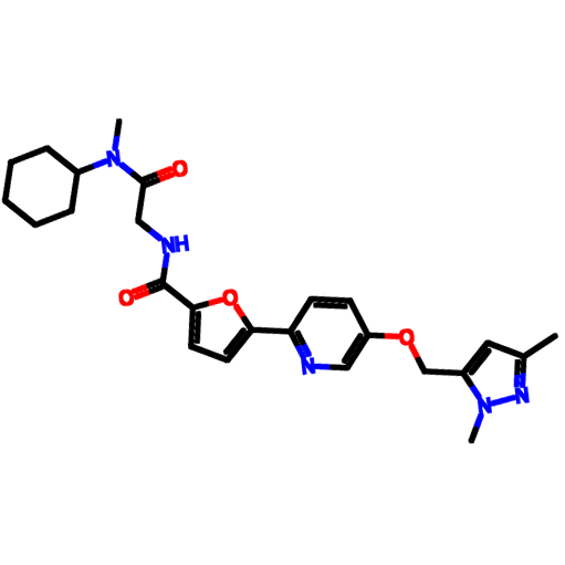 Cc1cc(COc2ccc(-c3ccc(C(=O)NCC(=O)N(C)C4CCCCC4)o3)nc2)n(C)n1